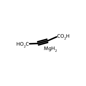 O=C(O)C#CC(=O)O.[MgH2]